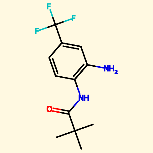 CC(C)(C)C(=O)Nc1ccc(C(F)(F)F)cc1N